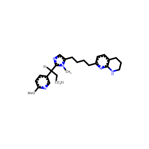 CCOC(=O)CC(CC)(c1ccc(OC)nc1)c1ncc(CCCCc2ccc3c(n2)NCCC3)n1C